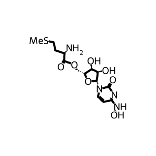 CSCC[C@H](N)C(=O)OC[C@H]1O[C@@H](n2ccc(NO)nc2=O)[C@H](O)[C@@H]1O